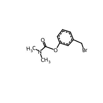 CN(C)C(=O)Oc1cccc(CBr)c1